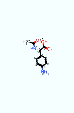 CC(=O)N[C@H](C(=O)O)c1ccc(N)cc1